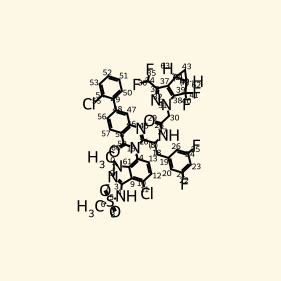 Cn1nc(NS(C)(=O)=O)c2c(Cl)ccc(-n3c([C@H](Cc4cc(F)cc(F)c4)NC(=O)Cn4nc(C(F)F)c5c4C(F)(F)[C@@H]4C[C@H]54)nc4cc(-c5ccccc5Cl)ccc4c3=O)c21